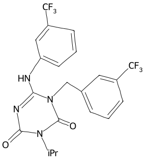 CC(C)n1c(=O)nc(Nc2cccc(C(F)(F)F)c2)n(Cc2cccc(C(F)(F)F)c2)c1=O